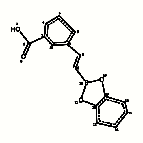 O=C(O)c1cccc(/C=C/B2Oc3ccccc3O2)c1